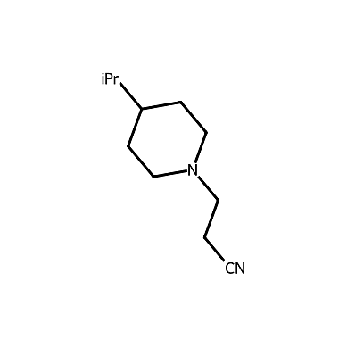 CC(C)C1CCN(CCC#N)CC1